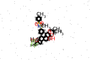 Cc1ccc(S(=O)(=O)N=[S@@](C)c2ccc([C@H]3C[C@@]4(C)C(CC[C@@]4(O)C(F)(F)C(F)(F)F)C4CC[C@@]5(O)CC6(CCC5=C43)OCC(C)(C)CO6)cc2)cc1